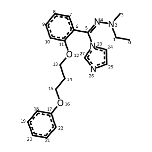 CCN(C)N=C(c1ccccc1OCCCOc1ccccc1)n1ccnc1